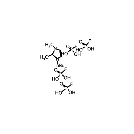 CCCCN1C=CN(C)C1C.O=P(O)(O)F.O=P(O)(O)F.O=P(O)(O)F.O=P(O)(O)F